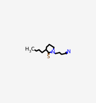 CCCCC1CCCN(CCCC#N)C1=S